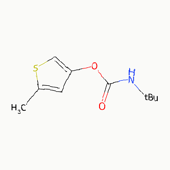 Cc1cc(OC(=O)NC(C)(C)C)cs1